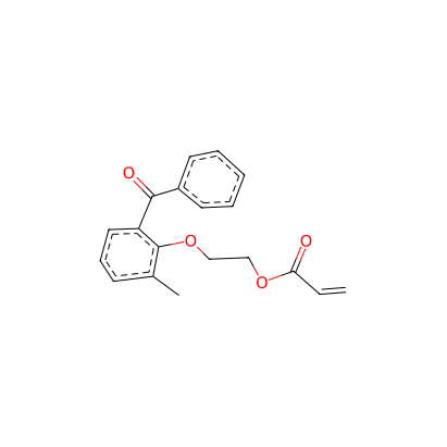 C=CC(=O)OCCOc1c(C)cccc1C(=O)c1ccccc1